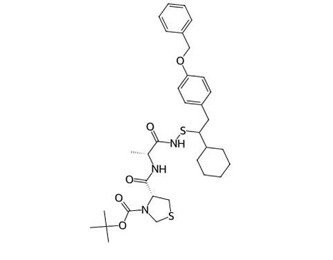 C[C@@H](NC(=O)[C@@H]1CSCN1C(=O)OC(C)(C)C)C(=O)NSC(Cc1ccc(OCc2ccccc2)cc1)C1CCCCC1